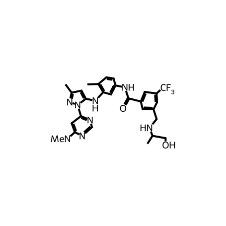 CNc1cc(-n2nc(C)cc2Nc2cc(NC(=O)c3cc(CNC(C)CO)cc(C(F)(F)F)c3)ccc2C)ncn1